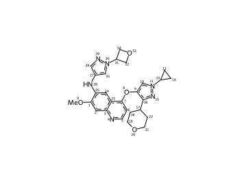 COc1cc2nccc(Oc3cn(C4CC4)nc3C3CCOCC3)c2cc1Nc1cnn(C2COC2)c1